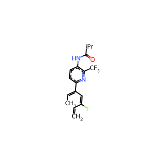 C=C/C(F)=C\C(=C/C)c1ccc(NC(=O)C(C)C)c(C(F)(F)F)n1